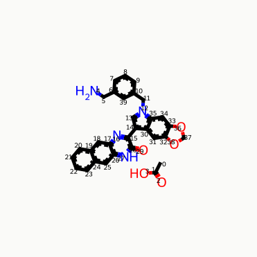 CC(=O)O.NCc1cccc(Cn2cc(-c3nc4cc5ccccc5cc4[nH]c3=O)c3cc4c(cc32)OCO4)c1